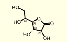 O=C1O[C@H]([C@@H](O)CO)[C@@H](O)[C@@H]1O